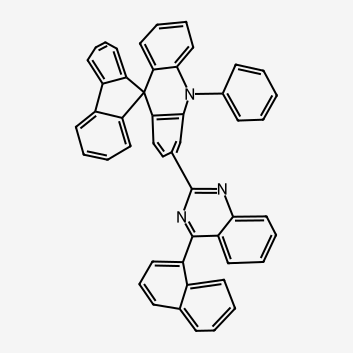 c1ccc(N2c3ccccc3C3(c4ccccc4-c4ccccc43)c3ccc(-c4nc(-c5cccc6ccccc56)c5ccccc5n4)cc32)cc1